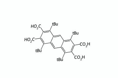 CC(C)(C)c1c(C(=O)O)c(C(=O)O)c(C(C)(C)C)c2cc3c(C(C)(C)C)c(C(=O)O)c(C(=O)O)c(C(C)(C)C)c3cc12